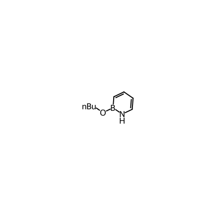 CCCCOB1C=CC=CN1